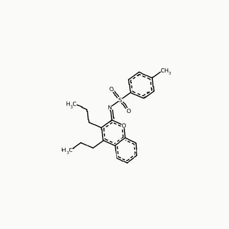 CCCc1c(CCC)c2ccccc2oc1=NS(=O)(=O)c1ccc(C)cc1